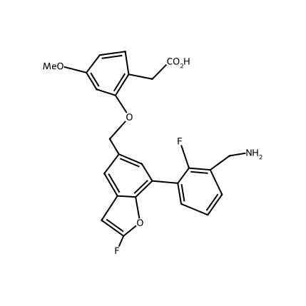 COc1ccc(CC(=O)O)c(OCc2cc(-c3cccc(CN)c3F)c3oc(F)cc3c2)c1